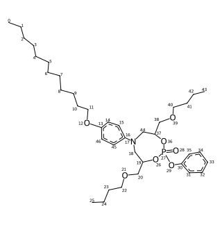 CCCCCCCCCCCCOc1ccc(N2CC(COCCCC)OP(=O)(Oc3ccccc3)OC(COCCCC)C2)cc1